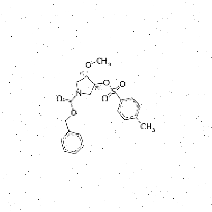 CO[C@H]1CN(C(=O)OCc2ccccc2)C[C@@H]1OS(=O)(=O)c1ccc(C)cc1